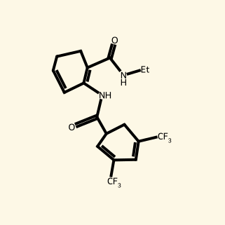 CCNC(=O)C1=C(NC(=O)C2C=C(C(F)(F)F)C=C(C(F)(F)F)C2)C=CCC1